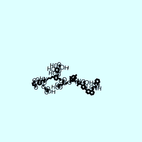 Cc1c(-c2ccc(-c3ccc4cccc(C(=O)Nc5nc6ccccc6s5)c4c3)nc2C(=O)O)cnn1CC12CC3(C)CC(C)(C1)CC(OCCN(CCS(=O)(=O)O)C(=O)OCc1ccc(CCCCNC(=O)CN4C(=O)[C@@H](N5C(=O)C=CC5=O)C[C@H]4COCCS(=O)(=O)O)cc1O[C@@H]1O[C@H](C(=O)O)[C@@H](O)[C@H](O)[C@H]1O)(C3)C2